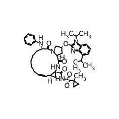 CC(C)c1cccc2c1nc(O[C@@H]1C[C@H]3C(=O)N[C@]4(C(=O)NS(=O)(=O)C5(C)CC5)C[C@H]4/C=C\CCCCC[C@H](Nc4ccccc4)C(=O)N3C1)n2C(C)C